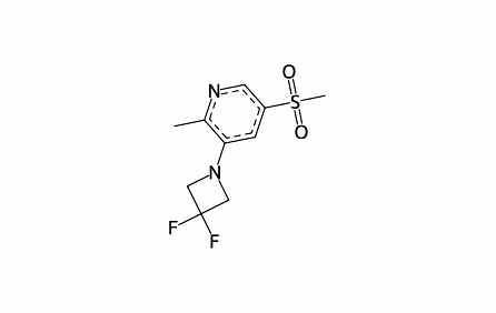 Cc1ncc(S(C)(=O)=O)cc1N1CC(F)(F)C1